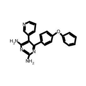 Nc1nc(N)c(-c2cccnc2)c(-c2ccc(Oc3ccccc3)cc2)n1